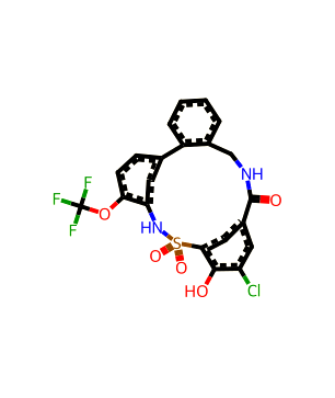 O=C1NCc2ccccc2-c2ccc(OC(F)(F)F)c(c2)NS(=O)(=O)c2cc1cc(Cl)c2O